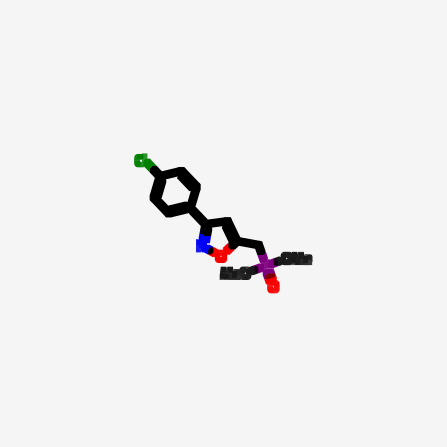 COP(=O)(Cc1cc(-c2ccc(Cl)cc2)no1)OC